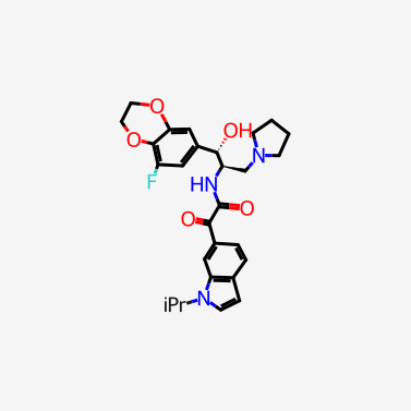 CC(C)n1ccc2ccc(C(=O)C(=O)N[C@H](CN3CCCC3)[C@@H](O)c3cc(F)c4c(c3)OCCO4)cc21